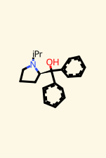 CC(C)N1CCC[C@@H]1C(O)(c1ccccc1)c1ccccc1